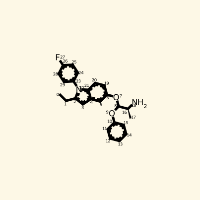 CCc1cc2cc(OC(Oc3ccccc3)[C@H](C)N)ccc2n1-c1ccc(F)cc1